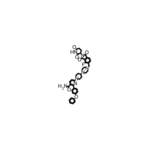 NC(=O)c1ccc(N2CCC(N3CCN(Cc4ccc5c(c4F)C(=O)N(C4CCC(=O)NC4=O)C5=O)CC3)CC2)nc1-c1ccc(Oc2ccccc2)cc1